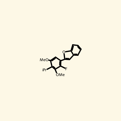 COc1cc(-c2cc3ccccc3o2)c(F)c(OC)c1C(C)C